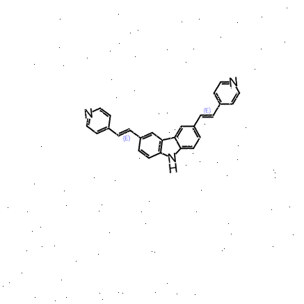 C(=C\c1ccc2[nH]c3ccc(/C=C/c4ccncc4)cc3c2c1)/c1ccncc1